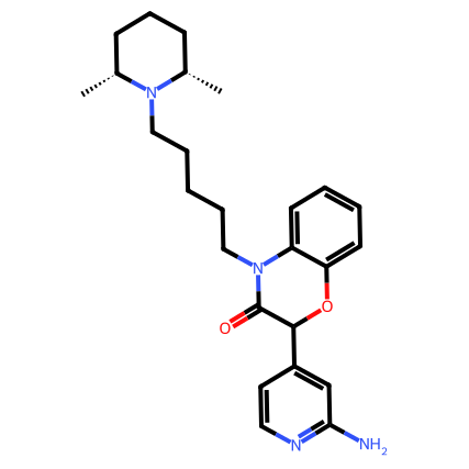 C[C@@H]1CCC[C@H](C)N1CCCCCN1C(=O)C(c2ccnc(N)c2)Oc2ccccc21